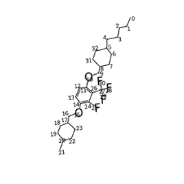 CCCCCC1CCC(COc2ccc(OCC3CCC(C)CC3)c(F)c2C(F)(F)F)CC1